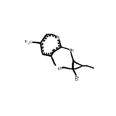 CCC1(CC)C(C)C1Nc1ncc(C(F)(F)F)cc1C